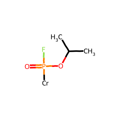 CC(C)O[P](=O)(F)[Cr]